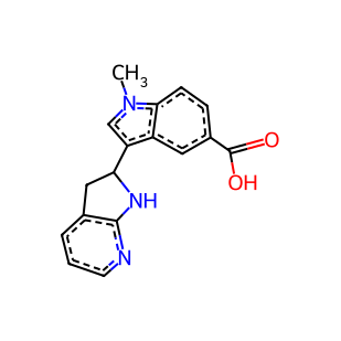 Cn1cc(C2Cc3cccnc3N2)c2cc(C(=O)O)ccc21